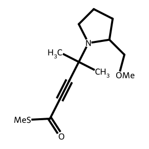 COCC1CCCN1C(C)(C)C#CC(=O)SC